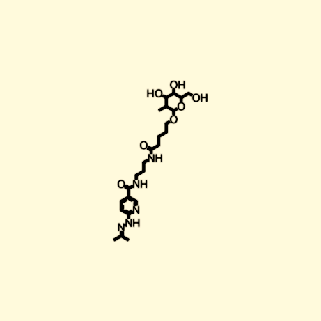 CC(C)=NNc1ccc(C(=O)NCCCNC(=O)CCCCOC2OC(CO)C(O)C(O)C2C)cn1